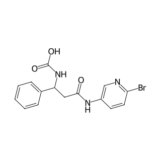 O=C(O)NC(CC(=O)Nc1ccc(Br)nc1)c1ccccc1